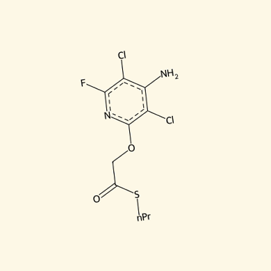 CCCSC(=O)COc1nc(F)c(Cl)c(N)c1Cl